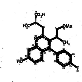 COCC(C)c1c(C[C@H](C)C(=O)O)nc2cc(O)ccc2c1-c1ccc(F)cc1